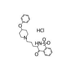 Cl.O=C1c2ccccc2S(=O)(=O)NC1CCCN1CCC(Oc2ccccc2)CC1